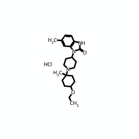 CCOC1CCC(C)(N2CCC(n3c(=O)[nH]c4ccc(C)cc43)CC2)CC1.Cl